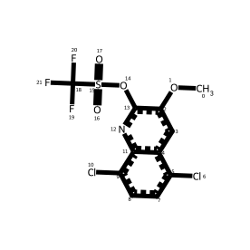 COc1cc2c(Cl)ccc(Cl)c2nc1OS(=O)(=O)C(F)(F)F